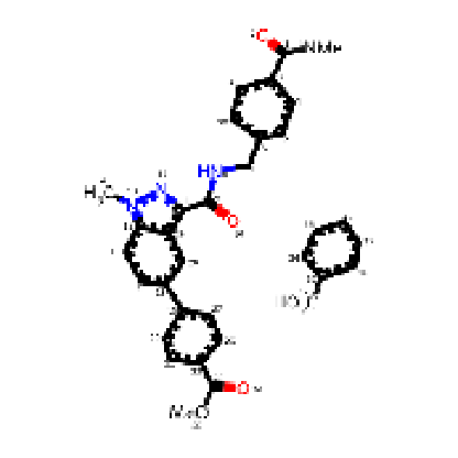 CNC(=O)c1ccc(CNC(=O)c2nn(C)c3ccc(-c4ccc(C(=O)OC)cc4)cc23)cc1.O=C(O)c1ccccc1